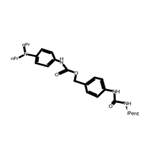 CCC[C@@H](C)NC(=O)Nc1ccc(COC(=O)Nc2ccc(N(CCC)CCC)cc2)cc1